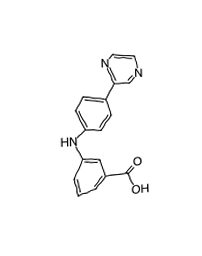 O=C(O)c1cccc(Nc2ccc(-c3cnccn3)cc2)c1